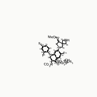 CON=C1CN(c2cc3c(cc2F)c(=O)c(C(=O)O)cn3-c2ccc(F)cc2F)CC12CNC2.CS(=O)(=O)O.CS(=O)(=O)O